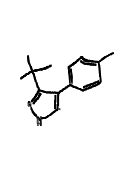 Cc1ccc(-c2[c][nH]nc2C(C)(C)C)cc1